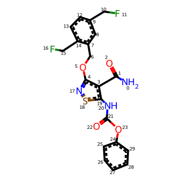 NC(=O)c1c(OCc2cc(CF)ccc2CF)nsc1NC(=O)Oc1ccccc1